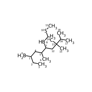 BC(CC)CC(C)C(BCSC)CC(C)(C)C(C)C